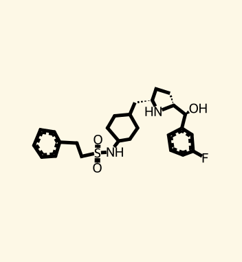 O=S(=O)(CCc1ccccc1)NC1CCC(C[C@@H]2CC[C@H]([C@@H](O)c3cccc(F)c3)N2)CC1